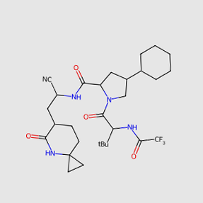 CC(C)(C)C(NC(=O)C(F)(F)F)C(=O)N1CC(C2CCCCC2)CC1C(=O)NC(C#N)CC1CCC2(CC2)NC1=O